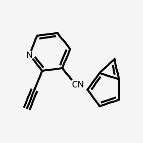 C#Cc1ncccc1C#N.c1cc2cc-2c1